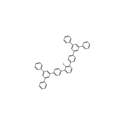 Ic1c(-c2ccc(-c3cc(-c4ccccc4)cc(-c4ccccc4)c3)cc2)cccc1-c1ccc(-c2cc(-c3ccccc3)cc(-c3ccccc3)c2)cc1